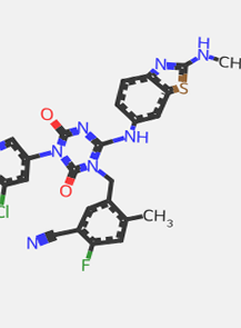 CNc1nc2ccc(Nc3nc(=O)n(-c4cncc(Cl)c4)c(=O)n3Cc3cc(C#N)c(F)cc3C)cc2s1